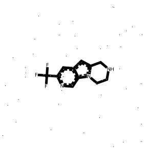 FC(F)(F)c1cc2cc3n(c2cn1)CCNC3